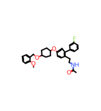 COc1ccccc1COC1CCC(Oc2ccc(CCNC(C)=O)c(-c3cccc(F)c3)c2)CC1